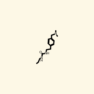 CCCNC(=O)NCCc1ccc(CN(C)C)cc1